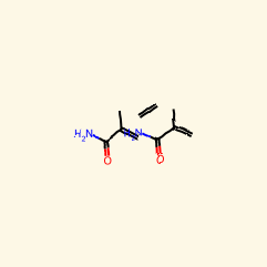 C=C.C=C(C)C(N)=O.C=C(C)C(N)=O